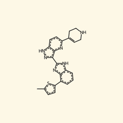 Cc1ccc(-c2cccc3[nH]c(-c4n[nH]c5ccc(C6=CCNCC6)nc45)nc23)s1